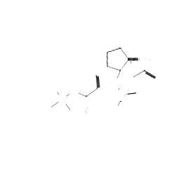 C=CC[C@@]1(O[SiH](C)C)C(=O)C[C@@H](C(C)(C)C)[C@H]1C=C[C@H](CCCCC)O[Si](C)(C)C(C)(C)C